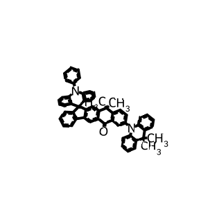 CC1(C)c2ccc(N3c4ccccc4C(C)(C)c4ccccc43)cc2C(=O)c2cc3c(cc21)C1(c2ccccc2-3)c2ccccc2N(c2ccccc2)c2ccccc21